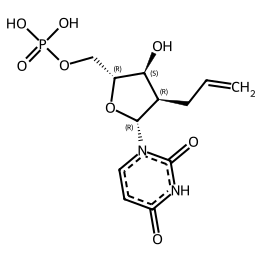 C=CC[C@@H]1[C@H](O)[C@@H](COP(=O)(O)O)O[C@H]1n1ccc(=O)[nH]c1=O